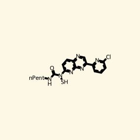 CCCCCNC(=O)N(S)c1ccc2ncc(-c3cccc(Cl)n3)nc2n1